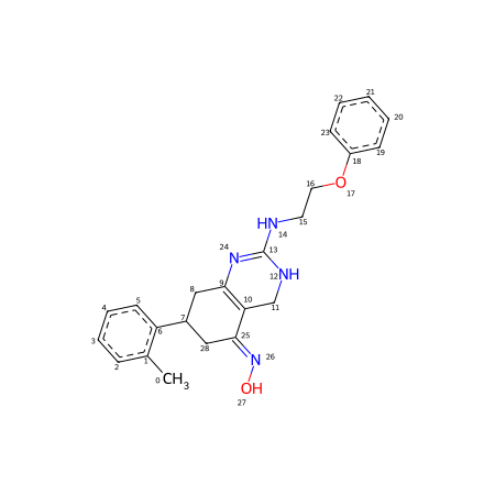 Cc1ccccc1C1CC2=C(CNC(NCCOc3ccccc3)=N2)/C(=N/O)C1